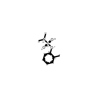 Cc1ccccc1OS(=O)(=O)N(C)C